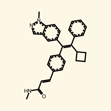 CNC(=O)C=Cc1ccc(C(=C(c2ccccc2)C2CCC2)c2ccc3c(cnn3C)c2)cc1